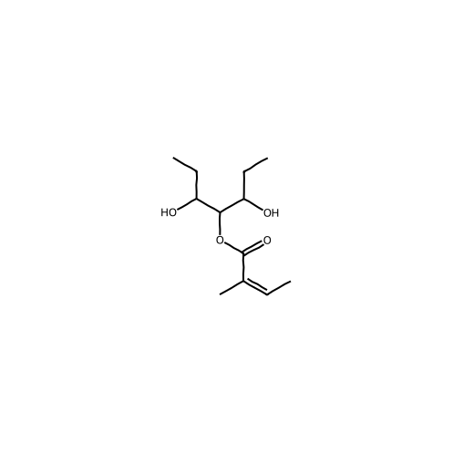 CC=C(C)C(=O)OC(C(O)CC)C(O)CC